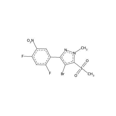 Cn1nc(-c2cc([N+](=O)[O-])c(F)cc2F)c(Br)c1S(C)(=O)=O